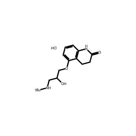 CC(C)(C)NCC(O)COc1cccc2c1CCC(=O)N2.Cl